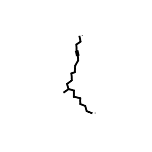 [CH2]CCC#CCCCCCCC(C)CCCCCC[CH2]